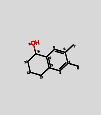 Cc1cc2c(cc1C)C(O)CCC2